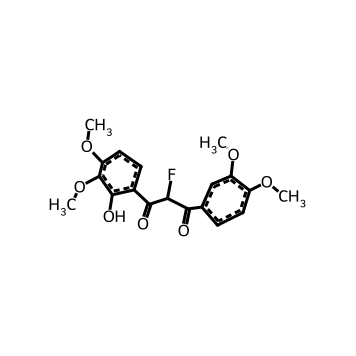 COc1ccc(C(=O)C(F)C(=O)c2ccc(OC)c(OC)c2O)cc1OC